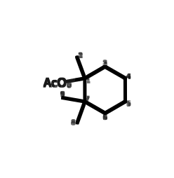 CC(=O)OC1(C)CCCCC1(C)C